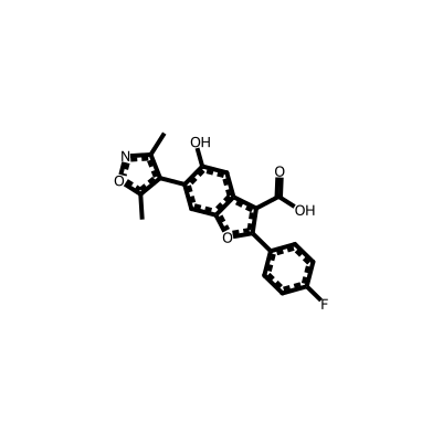 Cc1noc(C)c1-c1cc2oc(-c3ccc(F)cc3)c(C(=O)O)c2cc1O